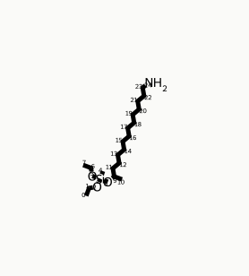 CCO[Si](C)(OCC)OC(C)CCCCCCCCCCCCCN